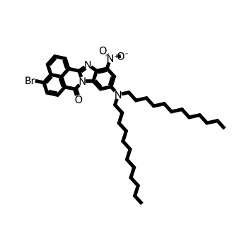 CCCCCCCCCCCCN(CCCCCCCCCCCC)c1cc([N+](=O)[O-])c2nc3c4cccc5c(Br)ccc(c(=O)n3c2c1)c54